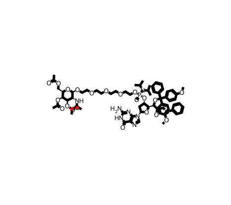 COc1ccc(C(OC(C(=O)COc2ccccc2)[C@H]2O[C@@H](n3cnc4c(=O)[nH]c(N)nc43)C[C@@H]2OP(=O)(OCCOCCOCCOCCO[C@@H]2O[C@H](COC(C)=O)[C@H](OC(C)=O)[C@H](OC(C)=O)[C@H]2NC(C)=O)N(C(C)C)C(C)C)(c2ccccc2)c2ccc(OC)cc2)cc1